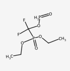 CCOP(=O)(OCC)C(F)(F)O[PH2]=O